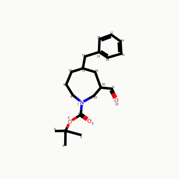 CC(C)(C)OC(=O)N1CCCC(Cc2ccccc2)CC(C=O)C1